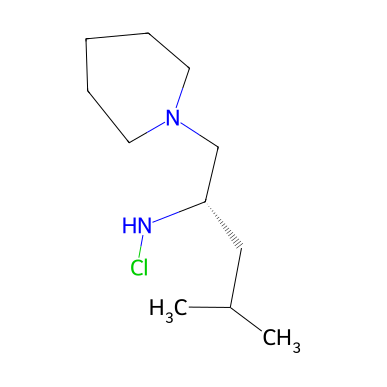 CC(C)C[C@@H](CN1CCCCC1)NCl